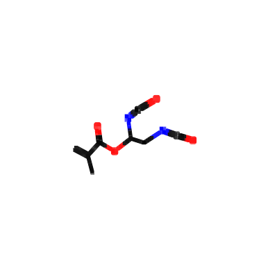 C=C(C)C(=O)OC(CN=C=O)N=C=O